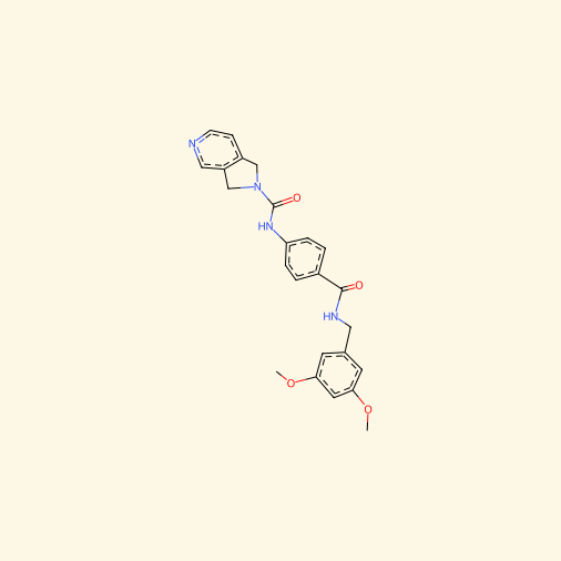 COc1cc(CNC(=O)c2ccc(NC(=O)N3Cc4ccncc4C3)cc2)cc(OC)c1